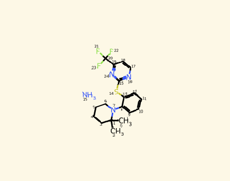 CC1(C)CCCCN1c1ccccc1Sc1nccc(C(F)(F)F)n1.N